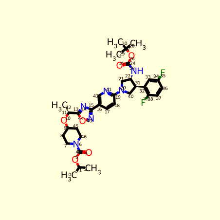 CC(C)OC(=O)N1CCC(O[C@H](C)c2nc(-c3ccc(N4C[C@H](NC(=O)OC(C)(C)C)[C@@H](c5cc(F)ccc5F)C4)nc3)no2)CC1